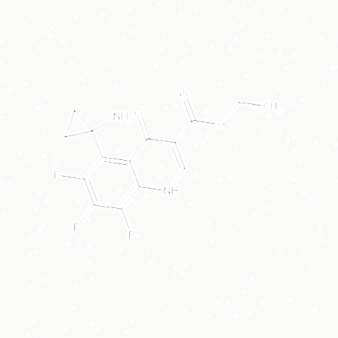 CCOC(=O)c1c[nH]c2c(F)c(F)c(F)c(C3(N)CC3)c2c1=O